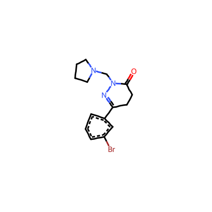 O=C1CCC(c2cccc(Br)c2)=NN1CN1CCCC1